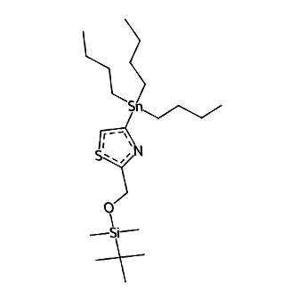 CCC[CH2][Sn]([CH2]CCC)([CH2]CCC)[c]1csc(CO[Si](C)(C)C(C)(C)C)n1